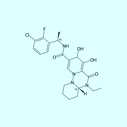 CCN1C(=O)C2=C(O)C(O)C(C(=O)N[C@H](C)c3cccc(Cl)c3F)=CN2N2CCCC[C@@H]12